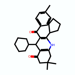 Cc1ccc(C(=O)C2=C(C3CCCC3)NC3=C(C(=O)CC(C)(C)C3)C2C2CCCCC2)cc1